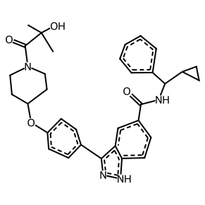 CC(C)(O)C(=O)N1CCC(Oc2ccc(-c3n[nH]c4ccc(C(=O)NC(c5ccccc5)C5CC5)cc34)cc2)CC1